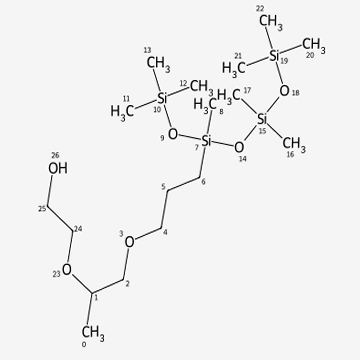 CC(COCCC[Si](C)(O[Si](C)(C)C)O[Si](C)(C)O[Si](C)(C)C)OCCO